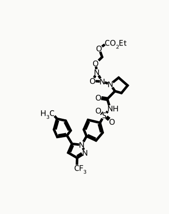 CCOC(=O)OCOn1on1N1CCCC1C(=O)NS(=O)(=O)c1ccc(-n2nc(C(F)(F)F)cc2-c2ccc(C)cc2)cc1